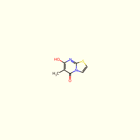 Cc1c(O)nc2sccn2c1=O